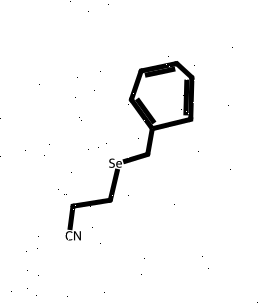 N#CCC[Se]Cc1ccccc1